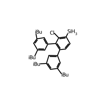 CCC(C)c1cc(-c2ccc([SiH3])c(Cl)c2-c2cc(C(C)CC)cc(C(C)CC)c2)cc(C(C)CC)c1